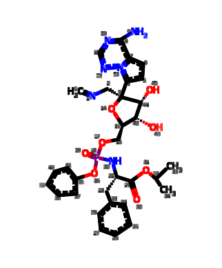 C=NC[C@@]1(c2ccc3c(N)ncnn23)O[C@H](COP(=O)(N[C@@H](Cc2ccccc2)C(=O)OC(C)C)Oc2ccccc2)[C@@H](O)[C@H]1O